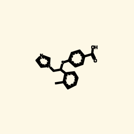 Cc1ccccc1C(Cn1ccnc1)Sc1ccc(C(=O)O)cc1